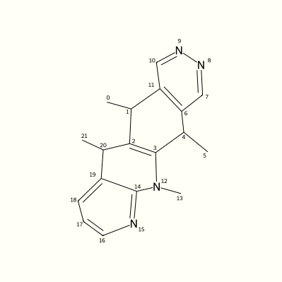 CC1C2=C(C(C)c3cnncc31)N(C)c1ncccc1C2C